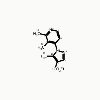 CCOC(=O)c1cnn(-c2ccnc(C)c2C)c1C(F)(F)F